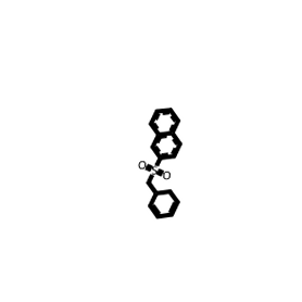 O=S(=O)(CC1C=CC=CC1)c1ccc2ccccc2c1